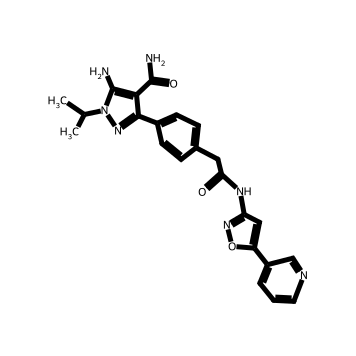 CC(C)n1nc(-c2ccc(CC(=O)Nc3cc(-c4cccnc4)on3)cc2)c(C(N)=O)c1N